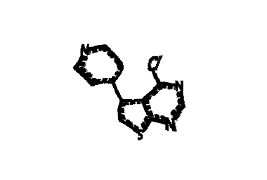 Clc1ncnc2scc(-c3ccncc3)c12